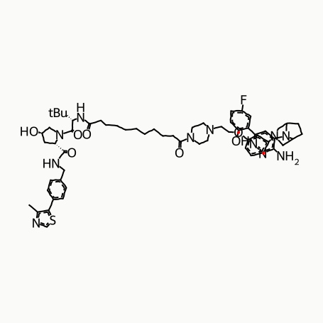 Cc1ncsc1-c1ccc(CNC(=O)[C@@H]2C[C@@H](O)CN2C(=O)[C@@H](NC(=O)CCCCCCCCCC(=O)N2CCN(CCOc3cccc(N4CC5CCC(C4)N5c4cc(-c5cc(F)ccc5O)nnc4N)c3)CC2)C(C)(C)C)cc1